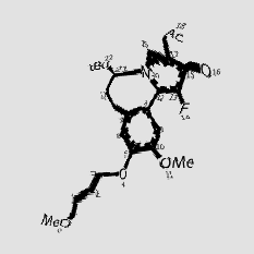 COCCCOc1cc2c(cc1OC)-c1c(F)c(=O)c(C(C)=O)cn1[C@H](C(C)(C)C)C2